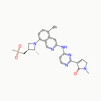 CC(C)c1ccc(N2C[C@H](CS(C)(=O)=O)[C@H]2C)c2cnc(Nc3ccnc(C4=CCN(C)C4=O)n3)cc12